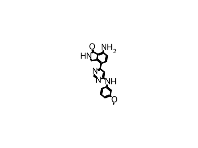 COc1cccc(Nc2cc(-c3ccc(N)c4c3CNC4=O)ncn2)c1